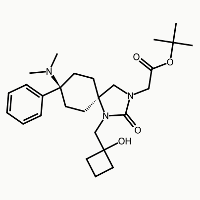 CN(C)[C@]1(c2ccccc2)CC[C@]2(CC1)CN(CC(=O)OC(C)(C)C)C(=O)N2CC1(O)CCC1